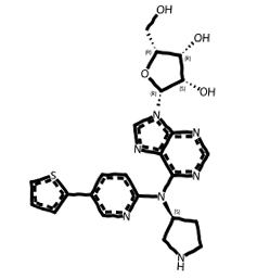 OC[C@H]1O[C@@H](n2cnc3c(N(c4ccc(-c5cccs5)cn4)[C@H]4CCNC4)ncnc32)[C@@H](O)[C@H]1O